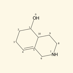 OC1CCC=C2CNCCC21